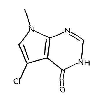 Cn1cc(Cl)c2c(=O)[nH]cnc21